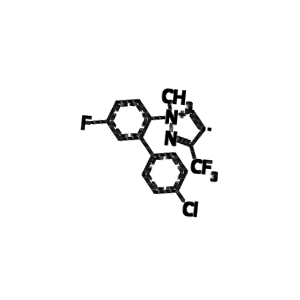 C[N+]1(c2ccc(F)cc2-c2ccc(Cl)cc2)C=[C]C(C(F)(F)F)=N1